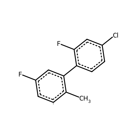 Cc1[c]cc(F)cc1-c1ccc(Cl)cc1F